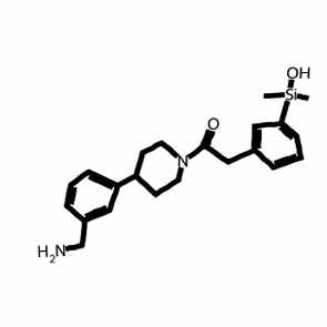 C[Si](C)(O)c1cccc(CC(=O)N2CCC(c3cccc(CN)c3)CC2)c1